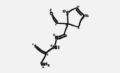 NC(=S)NN=CC1(C=O)CC=CS1